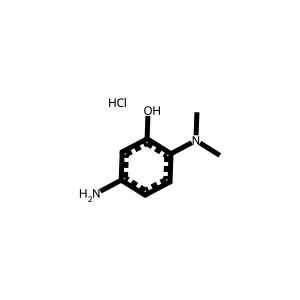 CN(C)c1ccc(N)cc1O.Cl